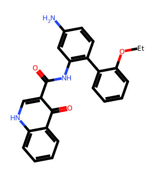 CCOc1ccccc1-c1ccc(N)cc1NC(=O)c1c[nH]c2ccccc2c1=O